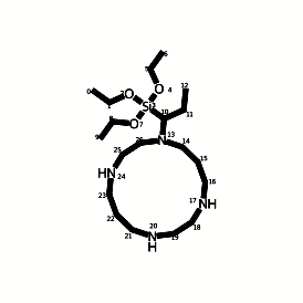 CCO[Si](OCC)(OCC)C(CC)N1CCCNCCNCCCNCC1